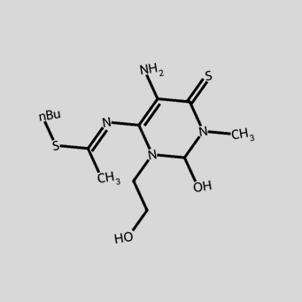 CCCCS/C(C)=N/C1=C(N)C(=S)N(C)C(O)N1CCO